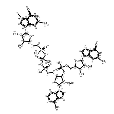 CO[C@H]1C(OP(=O)(S)OC[C@H]2O[C@@H](n3cnc4c(=O)[nH]c(N)nc43)[C@@H](O)C2O)[C@@H](COP(=O)(O)OP(=O)(O)OP(=O)(O)OC[C@H]2O[C@@H](n3c[n+](C)c4c(=O)[nH]c(N)nc43)[C@@H](O)C2O)O[C@H]1n1cnc2c(N)ncnc21